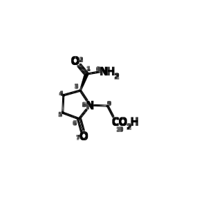 NC(=O)[C@@H]1CCC(=O)N1CC(=O)O